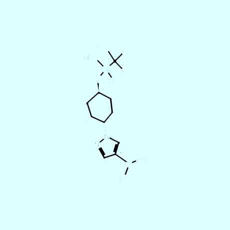 CC(C)(C)[Si](C)(C)O[C@H]1CC[C@H](n2cc(B(O)O)cn2)CC1